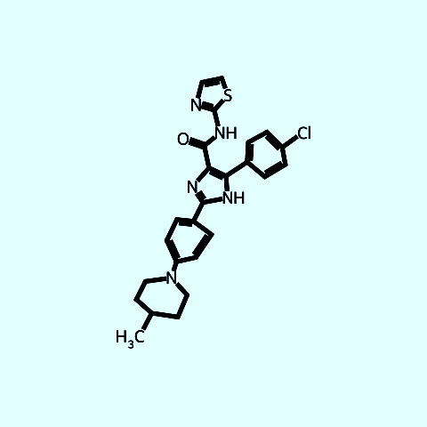 CC1CCN(c2ccc(-c3nc(C(=O)Nc4nccs4)c(-c4ccc(Cl)cc4)[nH]3)cc2)CC1